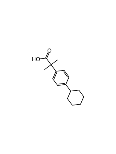 CC(C)(C(=O)O)c1ccc(C2CCCCC2)cc1